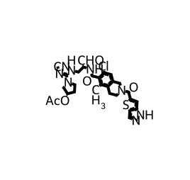 CC(=O)O[C@H]1CCN(/C(=N/C#N)NC[C@@H](C=O)NC(=O)c2c(Cl)cc3c(c2C)CCN(C(=O)c2cc4[nH]ncc4s2)C3)C1